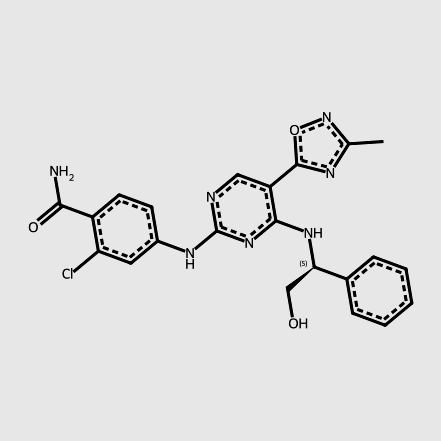 Cc1noc(-c2cnc(Nc3ccc(C(N)=O)c(Cl)c3)nc2N[C@H](CO)c2ccccc2)n1